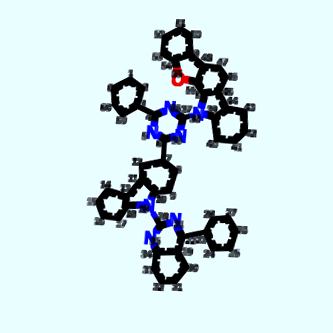 c1ccc(-c2nc(-c3ccc4c(c3)c3ccccc3n4-c3nc(-c4ccccc4)c4ccccc4n3)nc(-n3c4ccccc4c4ccc5c6ccccc6oc5c43)n2)cc1